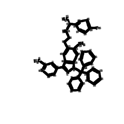 Cc1cc(-c2nn(C(c3ccccc3)(c3ccccc3)c3ccccc3)c3cc(N)c(CCN[C@H](C)c4ccc(F)cc4)cc23)ccn1